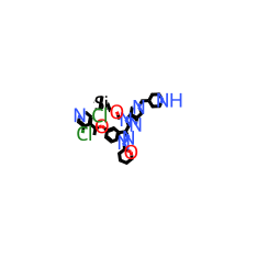 CC(Oc1ccc2c(c1)c(-c1nc3c(n1COCC[Si](C)(C)C)CN(CC1CCNCC1)C3)nn2C1CCCCO1)c1c(Cl)cncc1Cl